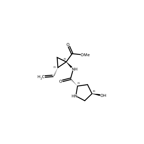 C=C[C@@H]1C[C@]1(NC(=O)[C@@H]1C[C@@H](O)CN1)C(=O)OC